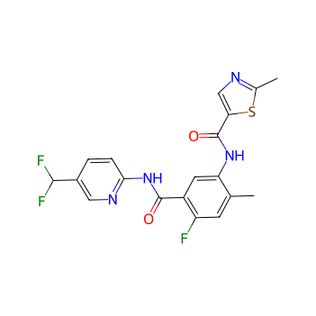 Cc1ncc(C(=O)Nc2cc(C(=O)Nc3ccc(C(F)F)cn3)c(F)cc2C)s1